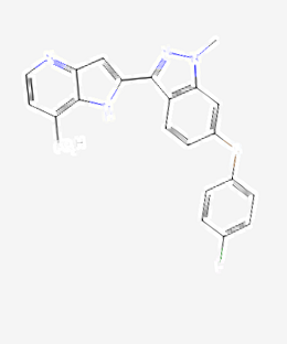 Cn1nc(-c2cc3nccc(C(=O)O)c3[nH]2)c2ccc(Sc3ccc(F)cc3)cc21